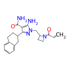 C=CC(=O)N1CCC1Cn1nc(C2CCc3ccccc3C2)c(C(N)=O)c1N